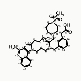 CCCCc1nc2c(N)nc3ccccc3c2n1CCCN(Cc1cccc(CC(=O)O)c1)C(=O)CN1CCCN(S(C)(=O)=O)CC1